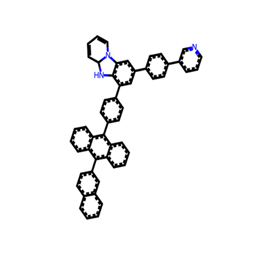 C1=CC2Nc3c(-c4ccc(-c5c6ccccc6c(-c6ccc7ccccc7c6)c6ccccc56)cc4)cc(-c4ccc(-c5cccnc5)cc4)cc3N2C=C1